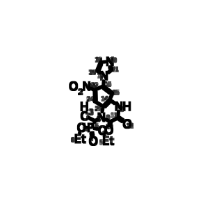 CCOP(=O)(OCC)C(C)n1c(=O)c(=O)[nH]c2cc(-n3ccnc3)c([N+](=O)[O-])cc21